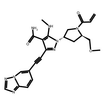 C=CC(=O)N1C[C@@H](n2nc(C#Cc3ccc4ncnn4c3)c(C(N)=O)c2NC)C[C@@H]1COC